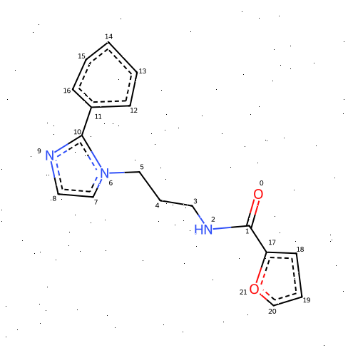 O=C(NCCCn1ccnc1-c1ccccc1)c1ccco1